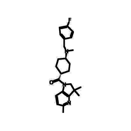 Cc1ccc2c(n1)C(C)(C)CN2C(=O)[C@H]1CC[C@H](N(C)Cc2ccc(F)cc2)CC1